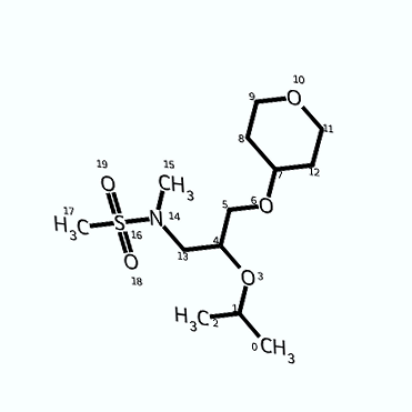 CC(C)OC(COC1CCOCC1)CN(C)S(C)(=O)=O